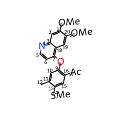 COc1cc2nccc(Oc3cc(C)c(SC)cc3C(C)=O)c2cc1OC